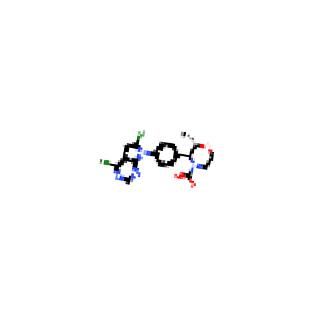 C[C@@H]1OCCN(C(=O)O)[C@H]1c1ccc(-n2c(Cl)cc3c(Cl)ncnc32)cc1